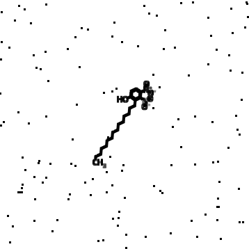 CCCCCCCCCCCCCCCc1c(O)ccc([N+](=O)[O-])c1[N+](=O)[O-]